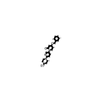 CCN1CCN(c2ccc(-n3ccc(OCc4ccccc4)cc3=O)cn2)CC1